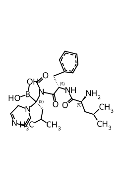 CC(C)C[C@H](N)C(=O)N[C@@H](Cc1ccccc1)C(=O)N(C=O)[C@](CC(C)C)(B(O)O)N1C=CN=CC1